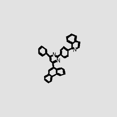 c1ccc(-c2cc(-c3cc4ccccc4c4ccccc34)nc(-c3ccc(-c4nccc5ccccc45)cc3)n2)cc1